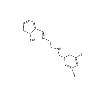 OC1CC=CC=C1/C=N/CCNCC1C=C(I)C=C(I)C1